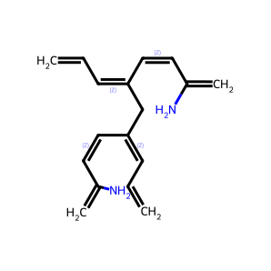 C=C/C=C(\C=C/C(=C)N)CC(/C=C\C(=C)N)=C/C=C